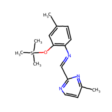 Cc1ccc(N=Cc2nccc(C)n2)c(O[Si](C)(C)C)c1